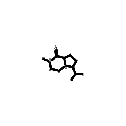 CC(C)C1CCC2C(=O)N(C)CCN21